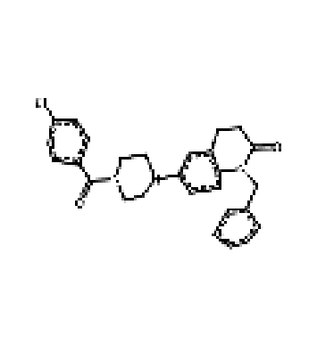 CCc1ccc(C(=O)N2CCN(c3ccc4c(c3)CCC(=O)N4Cc3ccccc3)CC2)cc1